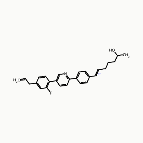 C=CCc1ccc(-c2ccc(-c3ccc(/C=C/CCCC(C)O)cc3)nc2)c(F)c1